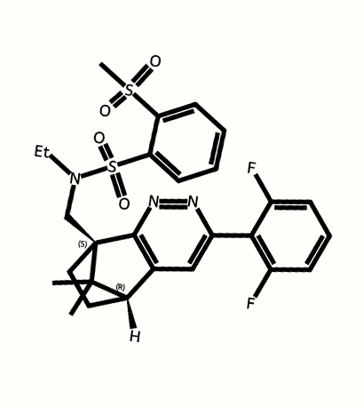 CCN(C[C@@]12CC[C@@H](c3cc(-c4c(F)cccc4F)nnc31)C2(C)C)S(=O)(=O)c1ccccc1S(C)(=O)=O